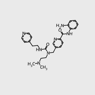 CN(C)CCN(Cc1ccc(C(=O)Nc2ccccc2N)nc1)C(=O)NCCc1ccncc1